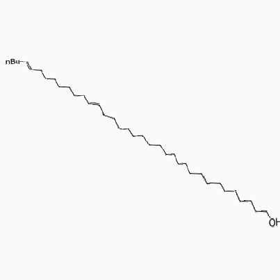 CCCC/C=C/CCCCCCC/C=C/CCCCCCCCCCCCCCCCCCCCCCO